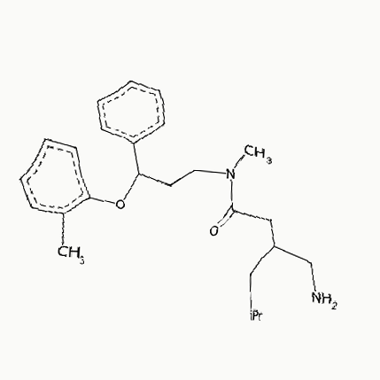 Cc1ccccc1OC(CCN(C)C(=O)CC(CN)CC(C)C)c1ccccc1